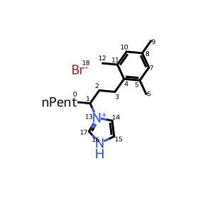 CCCCCC(CCc1c(C)cc(C)cc1C)[n+]1cc[nH]c1.[Br-]